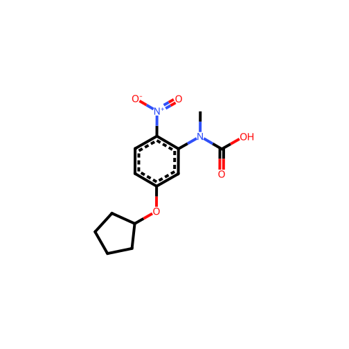 CN(C(=O)O)c1cc(OC2CCCC2)ccc1[N+](=O)[O-]